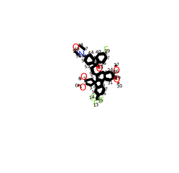 COCCC1(CCOC)c2cc(C(F)(F)F)ccc2-c2c1c1c(c3cc(OC)c(OC)cc23)OC(c2ccc(F)cc2)(c2ccc(N3CCOCC3)cc2)C=C1